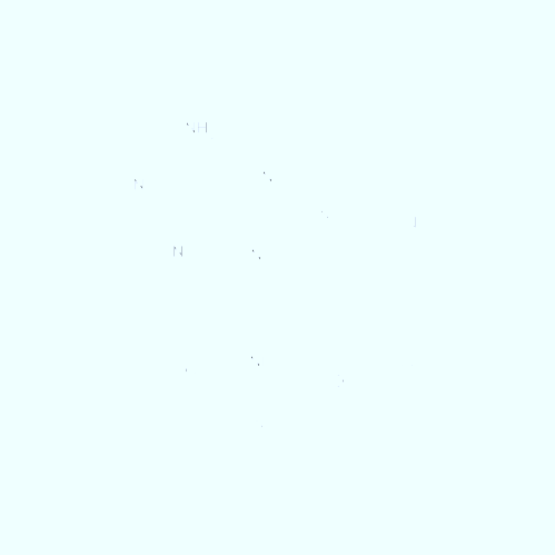 CS(=O)(=O)NCCn1c(Sc2cc3c(cc2I)OCO3)nc2c(N)ncnc21